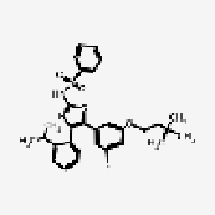 CC(C)c1ccccc1-c1nc(NS(=O)(=O)c2ccccc2)sc1-c1cc(F)cc(OCCC(C)(C)C)c1